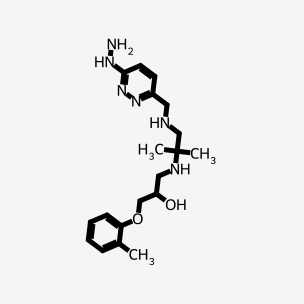 Cc1ccccc1OCC(O)CNC(C)(C)CNCc1ccc(NN)nn1